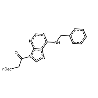 CCCCCCCCCCCC(=O)n1cnc2c(NCc3ccccc3)ncnc21